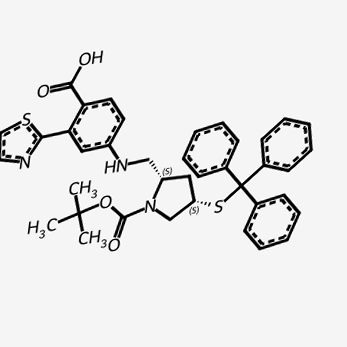 CC(C)(C)OC(=O)N1C[C@@H](SC(c2ccccc2)(c2ccccc2)c2ccccc2)C[C@H]1CNc1ccc(C(=O)O)c(-c2nccs2)c1